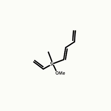 C=CC=C[Si](C)(C=C)OC